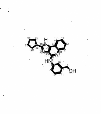 OCc1cccc(Nc2nc3ccccc3c3[nH]c(C4CCCC4)nc23)c1